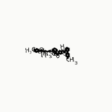 Cc1ccc(-c2ccccc2C(=O)Nc2ccc(C(=O)N(C)c3ccccc3OCCCNC(=O)OC3CCN(C)CC3)cc2)cc1